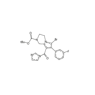 CC(C)(C)OC(=O)N1CCn2c(Br)c(-c3cccc(F)c3)c(C(=O)n3ccnc3)c2C1